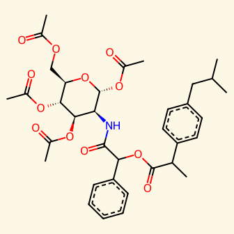 CC(=O)OC[C@H]1O[C@H](OC(C)=O)[C@@H](NC(=O)C(OC(=O)C(C)c2ccc(CC(C)C)cc2)c2ccccc2)[C@@H](OC(C)=O)[C@@H]1OC(C)=O